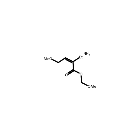 CCC(=CCOC)C(=O)OCOC.N